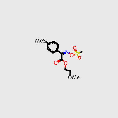 COCCOC(=O)/C(=N\OS(C)(=O)=O)c1ccc(SC)cc1